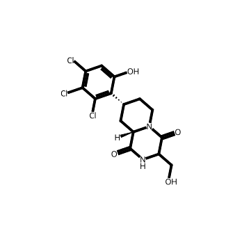 O=C1NC(CO)C(=O)N2CC[C@@H](c3c(O)cc(Cl)c(Cl)c3Cl)C[C@@H]12